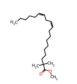 CCCCC/C=C\C/C=C\CCCCCCCC(C)(C)C(=O)OC